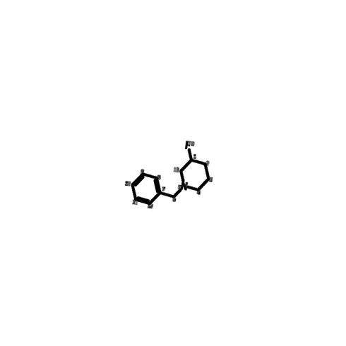 FC1CCCN(Cc2ccccc2)C1